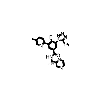 Cc1ccc(-c2cc(C(=O)N[C@@H](C)c3cnccn3)cc(-n3nnnc3C(C)C)c2F)nc1